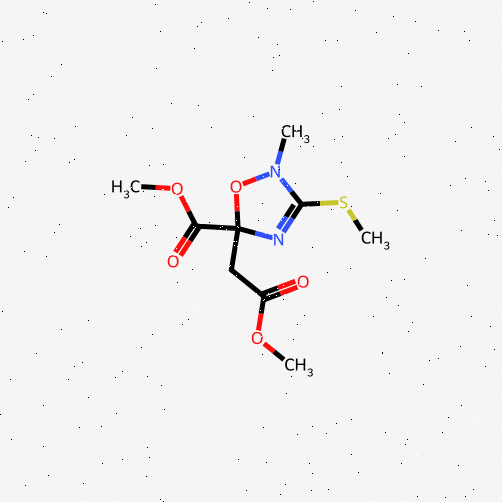 COC(=O)CC1(C(=O)OC)N=C(SC)N(C)O1